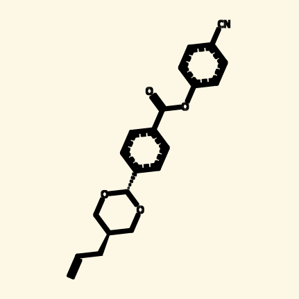 C=CC[C@H]1CO[C@H](c2ccc(C(=O)Oc3ccc(C#N)cc3)cc2)OC1